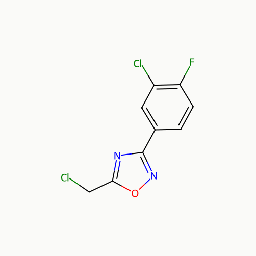 Fc1ccc(-c2noc(CCl)n2)cc1Cl